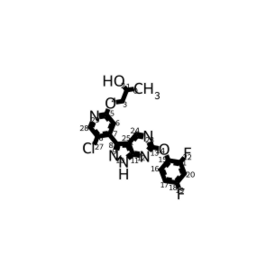 CC(O)COc1cc(-c2n[nH]c3nc(Oc4ccc(F)cc4F)ncc23)c(Cl)cn1